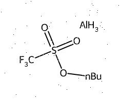 CCCCOS(=O)(=O)C(F)(F)F.[AlH3]